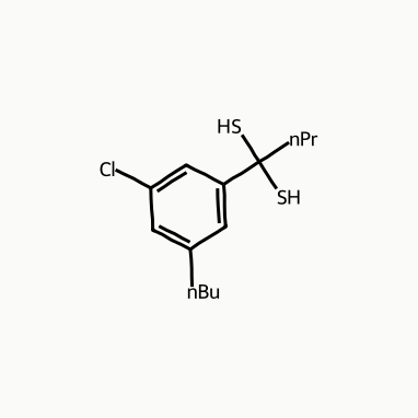 CCCCc1cc(Cl)cc(C(S)(S)CCC)c1